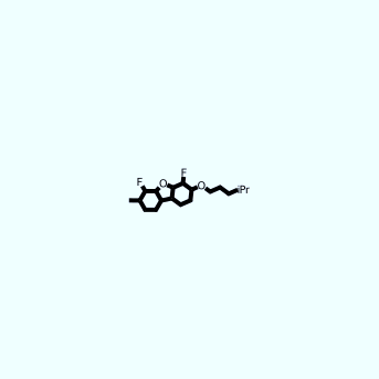 CC(C)CCCOC1CCC2C3CCC(C)C(F)C3OC2C1F